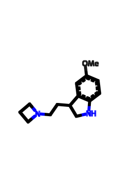 COc1ccc2c(c1)C(CCN1CCC1)CN2